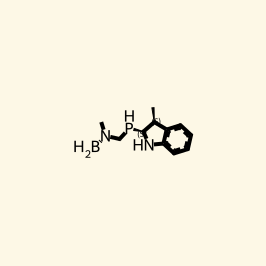 BN(C)CP[C@@H]1Nc2ccccc2[C@@H]1C